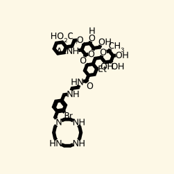 CCC1CC(C(=O)NCCNCc2ccc(CN3CCCNCCNCCCNCC3)c(Br)c2)CC(OC2OC(CO)C(O)C(O[C@@H](CC3CCCCC3)C(=O)O)C2NC(C)=O)C1CC1OC(C)C(O)C(O)C1O